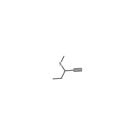 C#CC([CH]C)SC